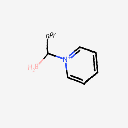 BC(CCC)[n+]1ccccc1